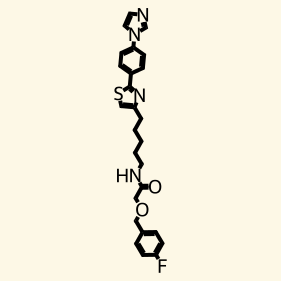 O=C(COCc1ccc(F)cc1)NCCCCCc1csc(-c2ccc(-n3ccnc3)cc2)n1